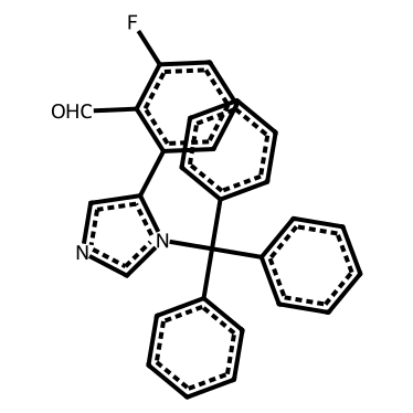 O=Cc1c(F)cccc1-c1cncn1C(c1ccccc1)(c1ccccc1)c1ccccc1